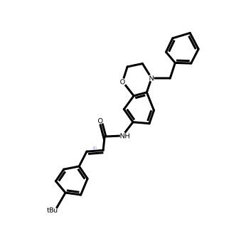 CC(C)(C)c1ccc(/C=C/C(=O)Nc2ccc3c(c2)OCCN3Cc2ccccc2)cc1